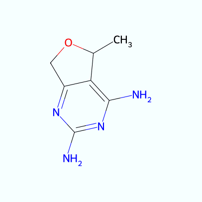 CC1OCc2nc(N)nc(N)c21